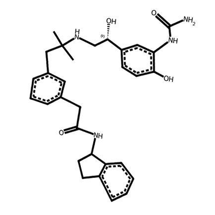 CC(C)(Cc1cccc(CC(=O)NC2CCc3ccccc32)c1)NC[C@H](O)c1ccc(O)c(NC(N)=O)c1